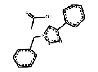 CC(=O)O.c1ccc(Cn2cc(-c3ccccc3)nn2)cc1